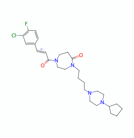 O=C(/C=C/c1ccc(F)c(Cl)c1)N1CCC(=O)N(CCCCN2CCN(C3CCCC3)CC2)CC1